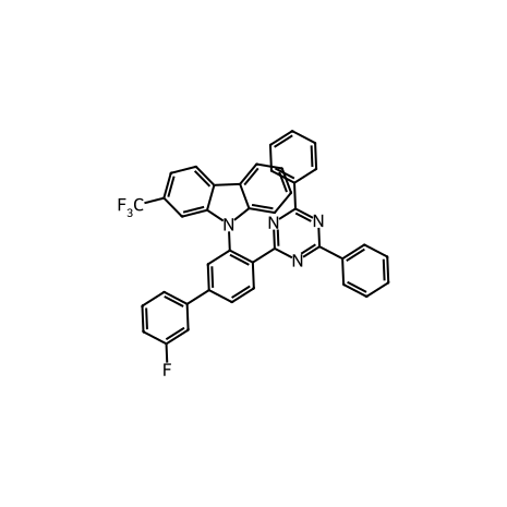 Fc1cccc(-c2ccc(-c3nc(-c4ccccc4)nc(-c4ccccc4)n3)c(-n3c4ccccc4c4ccc(C(F)(F)F)cc43)c2)c1